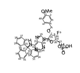 COc1ccc(CO[C@@H]2[C@H](F)[C@@H](CO[PH](=O)O)O[C@H]2n2cnc3c(NC(c4ccccc4)(c4ccccc4)c4ccccc4)ncnc32)cc1